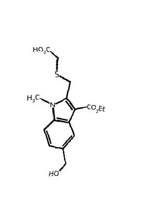 CCOC(=O)c1c(CSCC(=O)O)n(C)c2ccc(CO)cc12